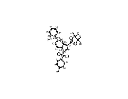 Cc1ccc(S(=O)(=O)n2cc(B3OC(C)(C)C(C)(C)O3)c3nc(-c4ccccc4F)ccc32)cc1